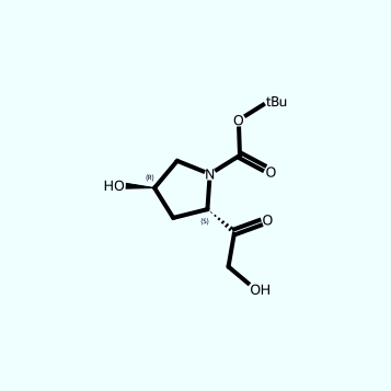 CC(C)(C)OC(=O)N1C[C@H](O)C[C@H]1C(=O)CO